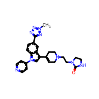 Cn1nnc(-c2ccc3c(c2)c(C2=CCN(CCN4CCNC4=O)CC2)cn3-c2ccncc2)n1